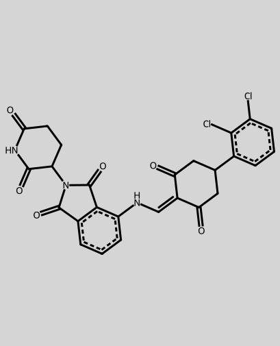 O=C1CCC(N2C(=O)c3cccc(NC=C4C(=O)CC(c5cccc(Cl)c5Cl)CC4=O)c3C2=O)C(=O)N1